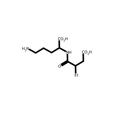 CCC(CC(=O)O)C(=O)NC(CCCN)C(=O)O